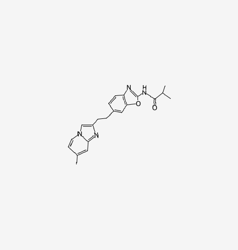 Cc1ccn2cc(CCc3ccc4nc(NC(=O)C(C)C)oc4c3)nc2c1